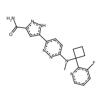 CN(c1ccc(-c2cc(C(N)=O)n[nH]2)nn1)C1(c2ncccc2F)CCC1